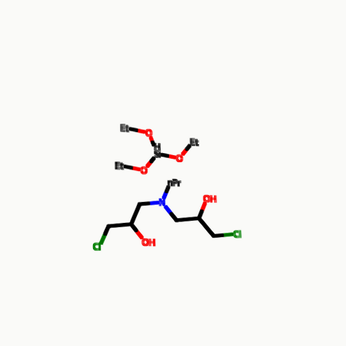 CCCN(CC(O)CCl)CC(O)CCl.CCO[SiH](OCC)OCC